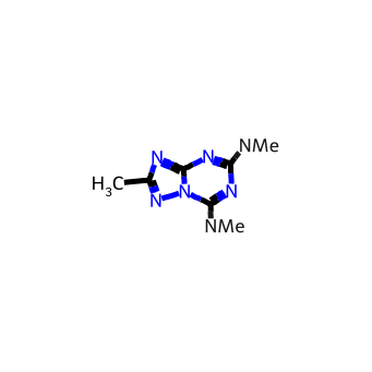 CNc1nc(NC)n2nc(C)nc2n1